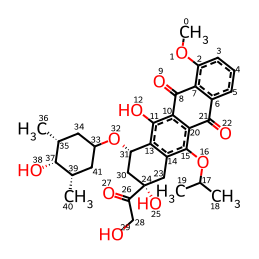 COc1cccc2c1C(=O)c1c(O)c3c(c(OC(C)C)c1C2=O)C[C@@](O)(C(=O)CO)C[C@@H]3OC1C[C@@H](C)[C@@H](O)[C@@H](C)C1